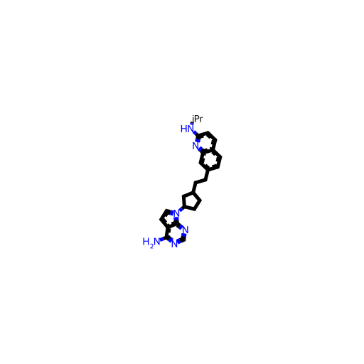 CC(C)Nc1ccc2ccc(CCC3CCC(n4ccc5c(N)ncnc54)C3)cc2n1